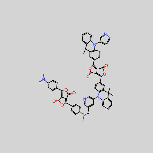 CN(C)c1ccc(C2=C3C(=O)OC(c4ccc(N(C)Cc5cncc(N6c7ccccc7C(C)(C)c7cc(C8=C9C(=O)OC(c%10ccc%11c(c%10)C(C)(C)c%10ccccc%10N%11c%10cccnc%10)=C9C(=O)O8)ccc76)c5)cc4)=C3C(=O)O2)cc1